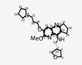 COc1nc2c(NC[C@@H]3CCOC3)c3c(nc2cc1OCCCN1CCCC1)CCC3